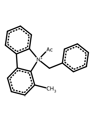 CC(=O)[N+]1(Cc2ccccc2)c2ccccc2-c2cc[c]c(C)c21